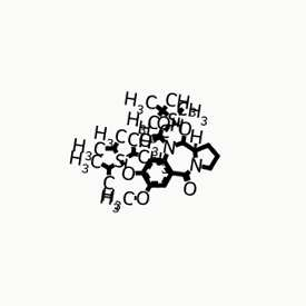 COc1cc2c(cc1O[Si](C(C)C)(C(C)C)C(C)C)N(C(=O)O)C(O[Si](C)(C)C(C)(C)C)[C@@H]1CCCN1C2=O